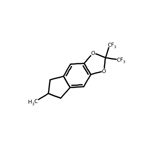 CC1Cc2cc3c(cc2C1)OC(C(F)(F)F)(C(F)(F)F)O3